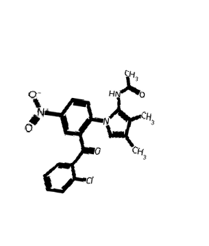 CC(=O)Nc1c(C)c(C)cn1-c1ccc([N+](=O)[O-])cc1C(=O)c1ccccc1Cl